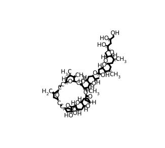 C=C1CC2CC[C@@]34C[C@]5(O)O[C@H]6C(O3)[C@H]3O[C@H](CC[C@@H]3O[C@H]6C5O4)CC(=O)O[C@@H]3[C@@H](C)[C@@H]4O[C@@H]5C[C@@]6(C[C@@H]7OC8(C[C@H](C)[C@@H]9O[C@H]([C@@H](O)C[C@@H](O)CO)C[C@@H]9O8)C[C@H](C)[C@@H]7O6)OC5C[C@@H]4O[C@H]3CC3O[C@@H](CCC1O2)C[C@@H](C)C3=C